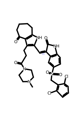 CN1CCN(C(=O)CCc2c(/C=C3\C(=O)Nc4ccc(S(=O)(=O)Cc5c(Cl)cccc5Cl)cc43)[nH]c3c2C(=O)CCCC3)CC1